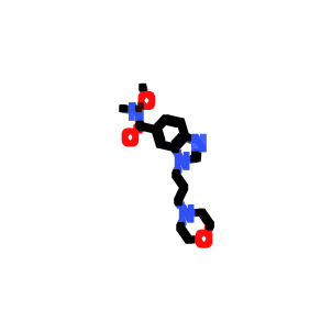 CON(C)C(=O)c1ccc2ncn(CCCN3CCOCC3)c2c1